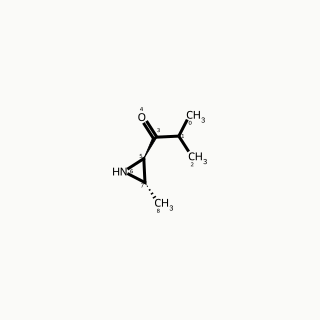 CC(C)C(=O)[C@@H]1N[C@H]1C